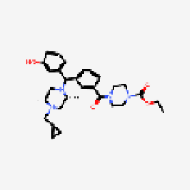 CCOC(=O)N1CCN(C(=O)c2cccc(C(c3cccc(O)c3)N3C[C@@H](C)N(CC4CC4)C[C@H]3C)c2)CC1